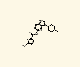 CN1CCC(c2c[nH]c3ccc(NC(=O)c4ccc([N+](=O)[O-])o4)nc23)CC1